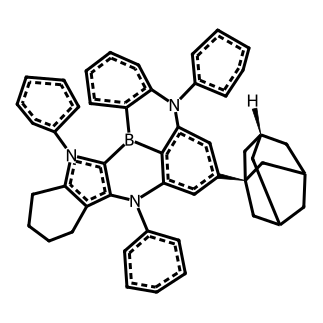 c1ccc(N2c3ccccc3B3c4c2cc([C@]25CC6CC(C[C@@H](C6)C2)C5)cc4N(c2ccccc2)c2c4c(n(-c5ccccc5)c23)CCCC4)cc1